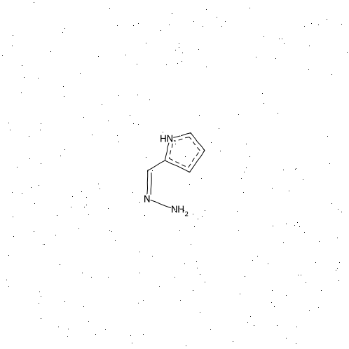 N/N=C\c1ccc[nH]1